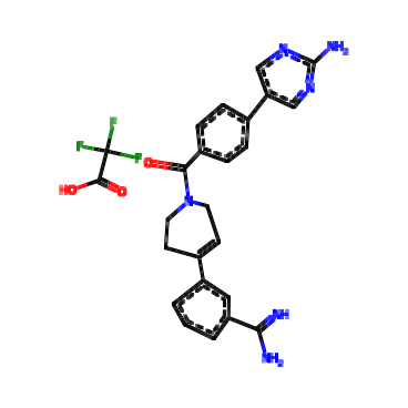 N=C(N)c1cccc(C2=CCN(C(=O)c3ccc(-c4cnc(N)nc4)cc3)CC2)c1.O=C(O)C(F)(F)F